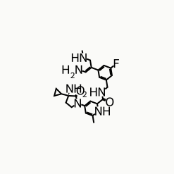 CNC/C(=C\N)c1cc(F)cc(CNC(=O)C2C=C(N3CC[C@@](N)(C4CC4)C3=O)C=C(C)N2)c1